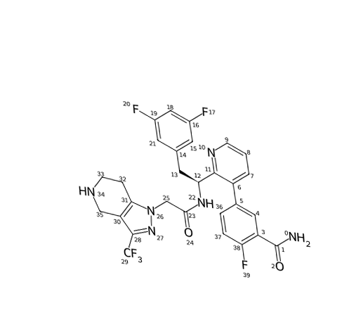 NC(=O)c1cc(-c2cccnc2[C@H](Cc2cc(F)cc(F)c2)NC(=O)Cn2nc(C(F)(F)F)c3c2CCNC3)ccc1F